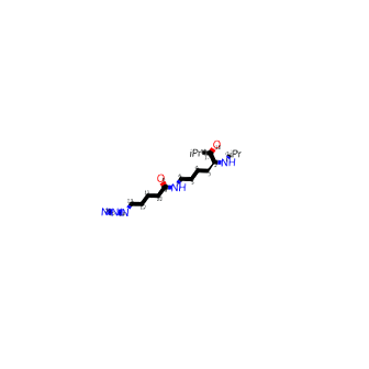 CC(C)N[C@@H](CCCCNC(=O)CCCCN=[N+]=[N-])C(=O)C(C)C